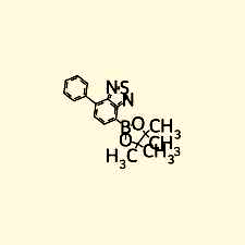 CC1(C)OB(c2ccc(-c3ccccc3)c3nsnc23)OC1(C)C